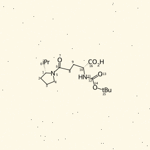 CC(C)[C@H]1CCCN1C(=O)CC[C@@H](NC(=O)OC(C)(C)C)C(=O)O